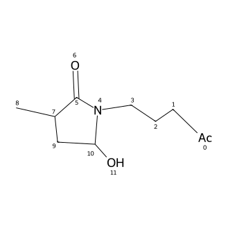 CC(=O)CCCN1C(=O)C(C)CC1O